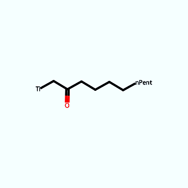 CCCCCCCCCC(=O)[CH2][Ti]